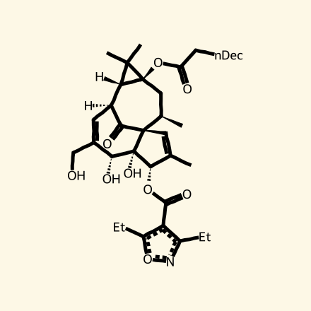 CCCCCCCCCCCC(=O)O[C@@]12C[C@@H](C)[C@]34C=C(C)[C@H](OC(=O)c5c(CC)noc5CC)[C@@]3(O)[C@H](O)C(CO)=C[C@H](C4=O)[C@@H]1C2(C)C